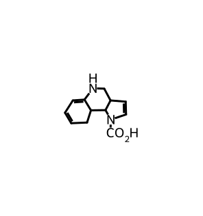 O=C(O)N1C=CC2CNC3=CC=CCC3C21